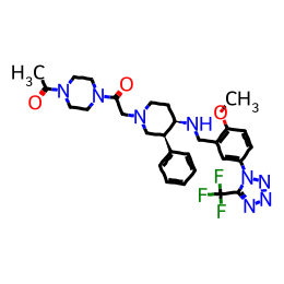 COc1ccc(-n2nnnc2C(F)(F)F)cc1CN[C@@H]1CCN(CC(=O)N2CCN(C(C)=O)CC2)C[C@@H]1c1ccccc1